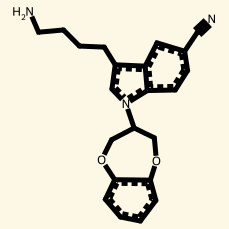 N#Cc1ccc2c(c1)c(CCCCN)cn2C1COc2ccccc2OC1